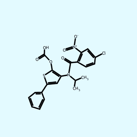 CC(C)N(C(=O)c1ccc(Cl)cc1[N+](=O)[O-])c1cc(-c2ccccc2)sc1OC(=O)O